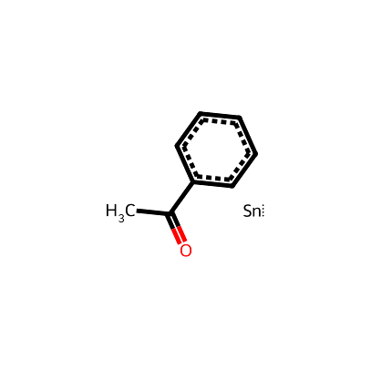 CC(=O)c1ccccc1.[Sn]